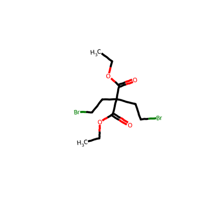 CCOC(=O)C(CCBr)(CCBr)C(=O)OCC